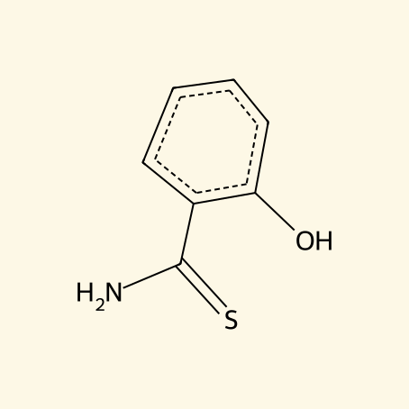 NC(=S)c1ccccc1O